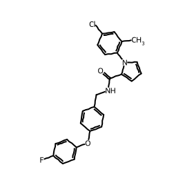 Cc1cc(Cl)ccc1-n1cccc1C(=O)NCc1ccc(Oc2ccc(F)cc2)cc1